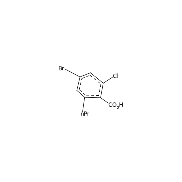 CCCc1cc(Br)cc(Cl)c1C(=O)O